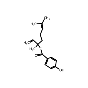 C=CC(C)(CCC=C(C)C)CC(=O)c1ccc(O)cc1